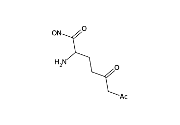 CC(=O)CC(=O)CCC(N)C(=O)N=O